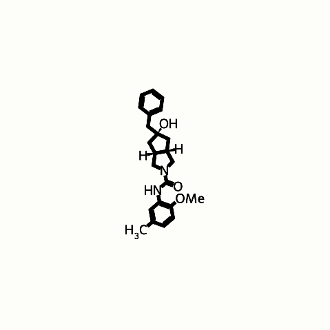 COc1ccc(C)cc1NC(=O)N1C[C@@H]2C[C@@](O)(Cc3ccccc3)C[C@@H]2C1